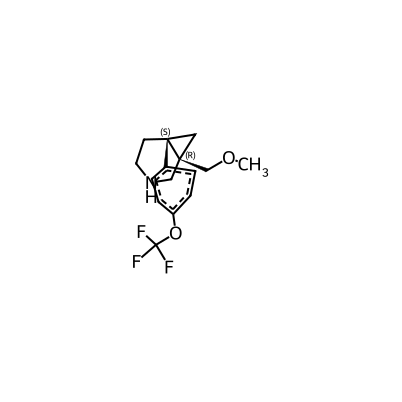 COC[C@@]12CNCC[C@]1(c1ccc(OC(F)(F)F)cc1)C2